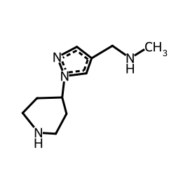 CNCc1cnn(C2CCNCC2)c1